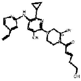 C=Cc1ccnc(Nc2cc(C#N)c(N3CCN(C(=O)C=CCCO)[C@H](C(C)C)C3)nc2C2CC2)c1